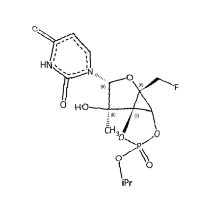 CC(C)OP1(=O)OC2[C@]3(O1)[C@@](C)(O)[C@H](n1ccc(=O)[nH]c1=O)O[C@]23CF